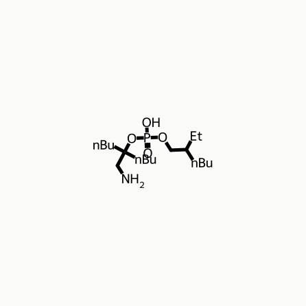 CCCCC(CC)COP(=O)(O)OC(CN)(CCCC)CCCC